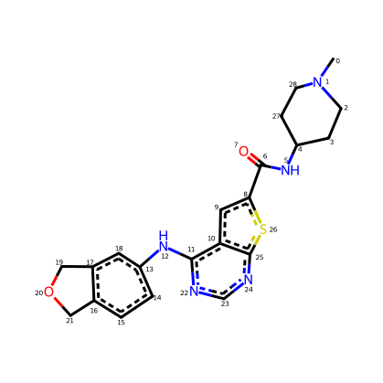 CN1CCC(NC(=O)c2cc3c(Nc4ccc5c(c4)COC5)ncnc3s2)CC1